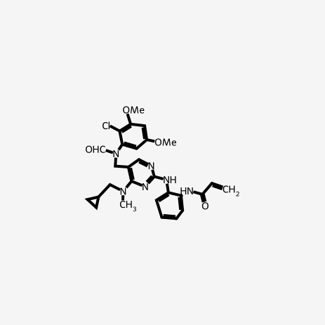 C=CC(=O)Nc1ccccc1Nc1ncc(CN(C=O)c2cc(OC)cc(OC)c2Cl)c(N(C)CC2CC2)n1